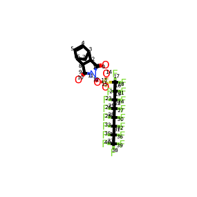 O=C1C2C3C=CC(C3)C2C(=O)N1OS(=O)(=O)C(F)(F)C(F)(F)C(F)(F)C(F)(F)C(F)(F)C(F)(F)C(F)(F)C(F)(F)F